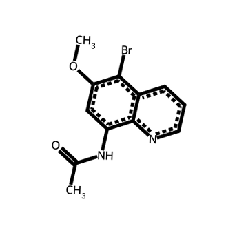 COc1cc(NC(C)=O)c2ncccc2c1Br